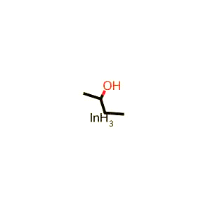 CCC(C)O.[InH3]